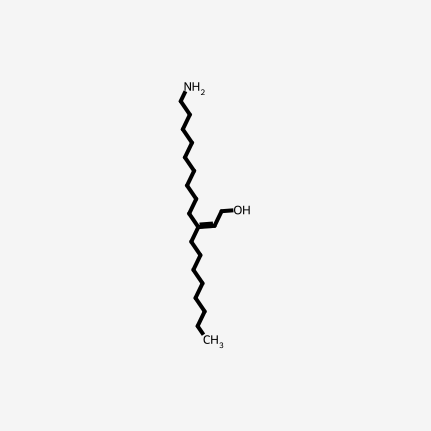 CCCCCCCCC(=CCO)CCCCCCCCCN